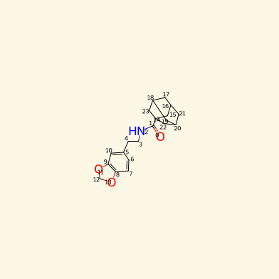 O=C(NCCc1ccc2c(c1)OCO2)C12CC3CC(CC(C3)C1)C2